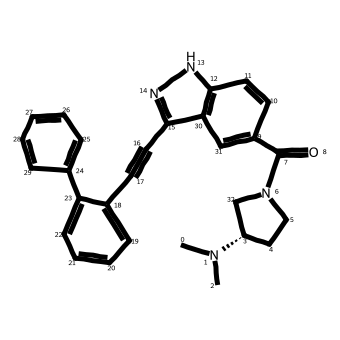 CN(C)[C@H]1CCN(C(=O)c2ccc3[nH]nc(C#Cc4ccccc4-c4ccccc4)c3c2)C1